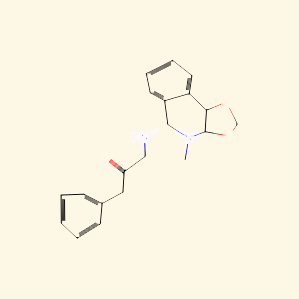 CN1C2OCOC2c2ccccc2[C@H]1NCC(=O)Cc1ccccc1